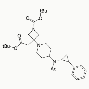 CC(=O)N(C1CCN(C2(CC(=O)OC(C)(C)C)CN(C(=O)OC(C)(C)C)C2)CC1)[C@@H]1CC1c1ccccc1